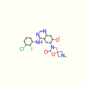 COc1cc2ncnc(Nc3cccc(Cl)c3F)c2cc1N1C(=O)OC2(CN(C)C2)[C@H]1C